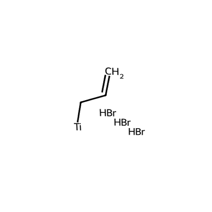 Br.Br.Br.C=C[CH2][Ti]